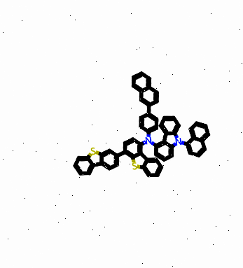 c1ccc2cc(-c3ccc(N(c4ccc(-c5ccc6c(c5)sc5ccccc56)c5sc6ccccc6c45)c4cccc5c4c4ccccc4n5-c4cccc5ccccc45)cc3)ccc2c1